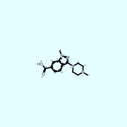 CN1CCN(c2nn(C)c3cc(C(=O)O)ccc23)CC1